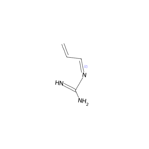 C=C/C=N\C(=N)N